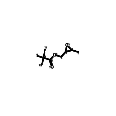 CC1OC1COC(=O)C(C)(F)F